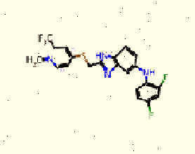 C=N/C=C\C(=C/CC(F)(F)F)SCc1nc2cc(Nc3ccc(F)cc3F)ccc2[nH]1